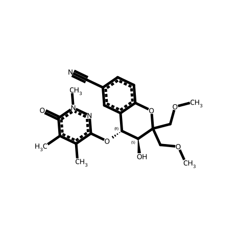 COCC1(COC)Oc2ccc(C#N)cc2[C@@H](Oc2nn(C)c(=O)c(C)c2C)[C@@H]1O